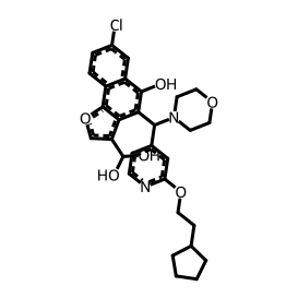 Oc1c(C(c2ccnc(OCCC3CCCC3)c2)N2CCOCC2)c2c(C(O)O)coc2c2ccc(Cl)cc12